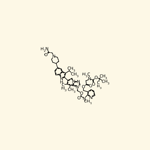 Cc1c(-c2[nH]c3ccc(C4CCN(CC(N)=O)CC4)cc3c2C(C)C)cn2nc[n+](COC(=O)N(C)c3ncccc3COC(=O)CN(C)C(=O)OC(C)(C)C)c2c1C